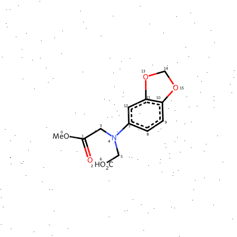 COC(=O)CN(CC(=O)O)c1ccc2c(c1)OCO2